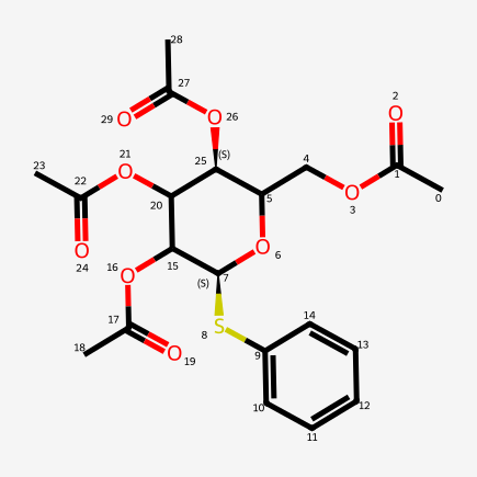 CC(=O)OCC1O[C@@H](Sc2ccccc2)C(OC(C)=O)C(OC(C)=O)[C@H]1OC(C)=O